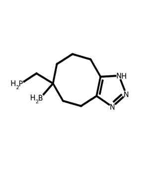 BC1(CP)CCCc2[nH]nnc2CC1